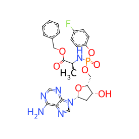 C[C@H](NP(=O)(OC[C@H]1O[C@@H](n2cnc3c(N)ncnc32)C[C@H]1O)Oc1ccc(F)cc1)C(=O)OCc1ccccc1